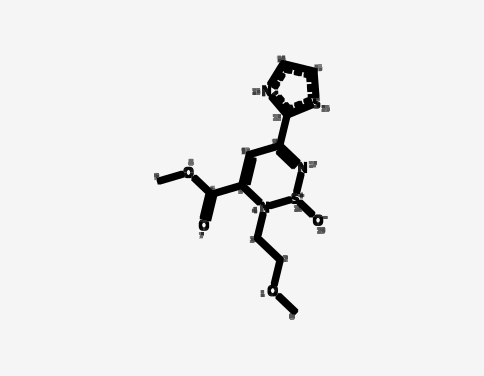 COCCN1C(C(=O)OC)=CC(c2nccs2)=N[S+]1[O-]